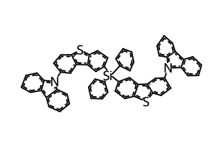 c1ccc([Si](c2ccccc2)(c2ccc3sc4ccc(-n5c6ccccc6c6ccccc65)cc4c3c2)c2ccc3sc4ccc(-n5c6ccccc6c6ccccc65)cc4c3c2)cc1